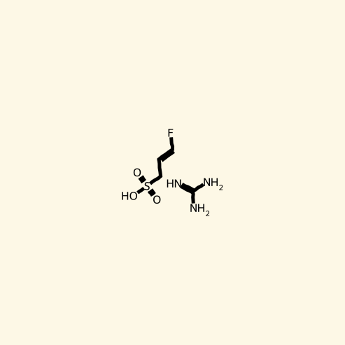 N=C(N)N.O=S(=O)(O)CC=CF